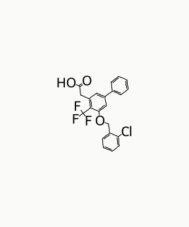 O=C(O)Cc1cc(-c2ccccc2)cc(OCc2ccccc2Cl)c1C(F)(F)F